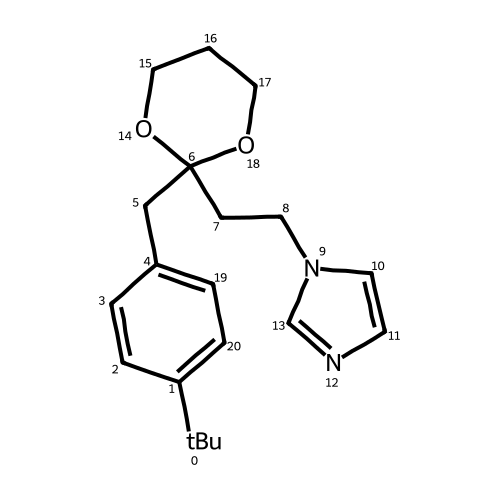 CC(C)(C)c1ccc(CC2(CCn3ccnc3)OCCCO2)cc1